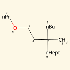 CCCCCCCC(C)(CCCC)CCOCCC